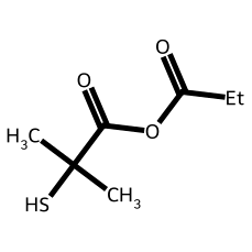 CCC(=O)OC(=O)C(C)(C)S